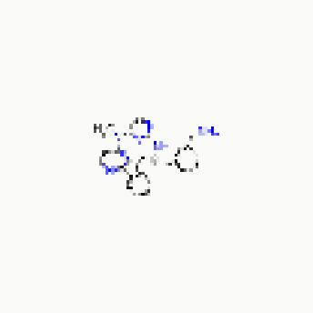 C[C@@H](Cc1cccc(CN)c1)Nc1nccc(N(C)c2ccnc(-c3ccccc3)n2)n1